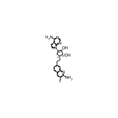 Nc1nc2cc(CC[C@H]3C[C@@H](n4ccc5c(N)ncnc54)[C@H](O)[C@@H]3O)ccc2cc1F